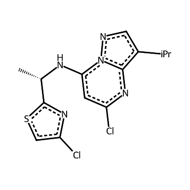 CC(C)c1cnn2c(N[C@@H](C)c3nc(Cl)cs3)cc(Cl)nc12